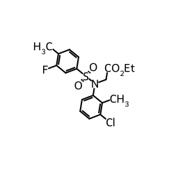 CCOC(=O)CN(c1cccc(Cl)c1C)S(=O)(=O)c1ccc(C)c(F)c1